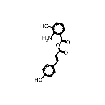 Nc1c(O)cccc1C(=O)OC(=O)C=Cc1ccc(O)cc1